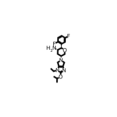 CCn1c(OC(C)C)nc2c1CN([C@H]1CO[C@H](c3cc(F)ccc3F)[C@@H](N)C1)C2